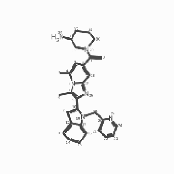 C=C(c1cc(C)n2c(C)c(-c3cc4ccccc4n3Cc3ccccn3)nc2c1)N1CCCC(N)C1